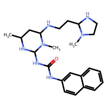 CC1CC(NCCC2NCCN2C)N(C)C(NC(=O)Nc2ccc3ccccc3c2)N1